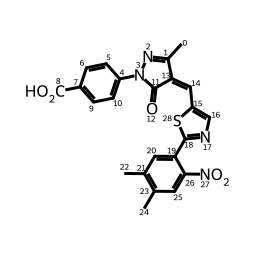 CC1=NN(c2ccc(C(=O)O)cc2)C(=O)C1=Cc1cnc(-c2cc(C)c(C)cc2[N+](=O)[O-])s1